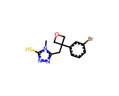 Cn1c(S)nnc1CC1(c2cccc(Br)c2)COC1